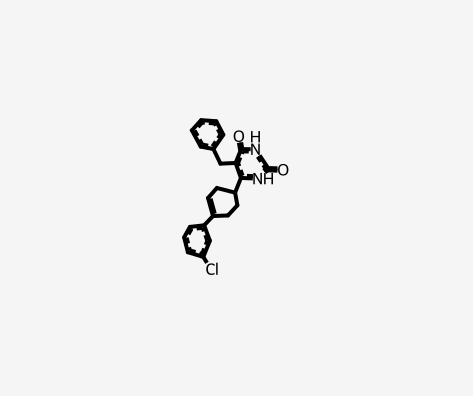 O=c1[nH]c(C2CC=C(c3cccc(Cl)c3)CC2)c(Cc2ccccc2)c(=O)[nH]1